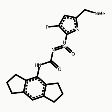 CNCc1cc(F)c(/[SH](=O)=N/C(=O)Nc2c3c(cc4c2CCC4)CCC3)s1